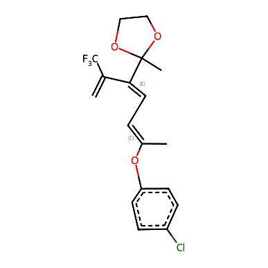 C=C(/C(=C\C=C(/C)Oc1ccc(Cl)cc1)C1(C)OCCO1)C(F)(F)F